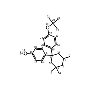 CC1CC(C)(C)CC(c2ccc(O)cc2)(c2ccc(OC(C)(C)C)cc2)C1